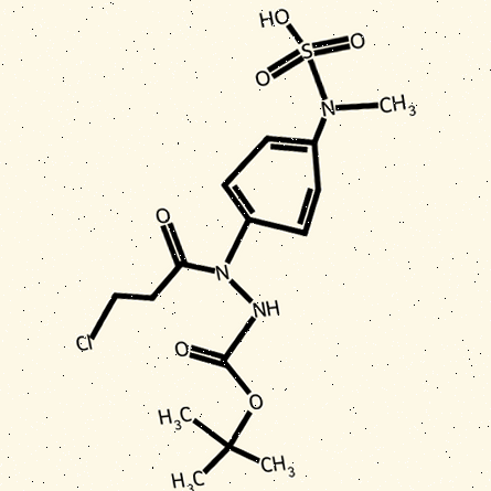 CN(c1ccc(N(NC(=O)OC(C)(C)C)C(=O)CCCl)cc1)S(=O)(=O)O